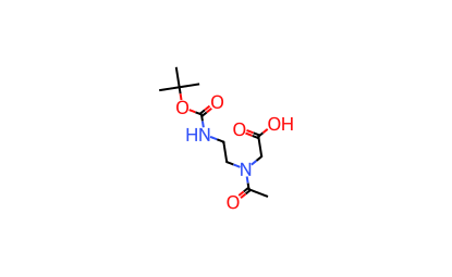 CC(=O)N(CCNC(=O)OC(C)(C)C)CC(=O)O